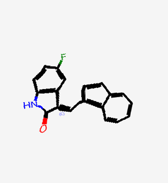 O=C1Nc2ccc(F)cc2/C1=C\c1ccc2cccccc1-2